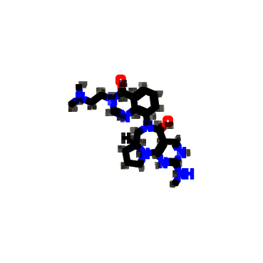 CNc1ncc2c(n1)N1CCC[C@H]1CN(c1cccc3c(=O)n(CCN(C)C)cnc13)C2=O